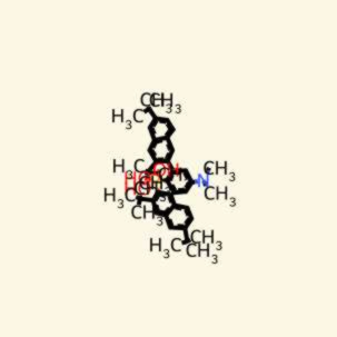 CN(C)c1ccc(P(O)(O)(O)c2cc3ccc(C(C)(C)C)cc3cc2C(C)(C)C)c(-c2cc3ccc(C(C)(C)C)cc3cc2C(C)(C)C)c1